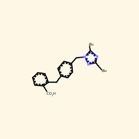 CCC(C)c1nc(C(C)CC)n(Cc2ccc(Cc3ccccc3C(=O)O)cc2)n1